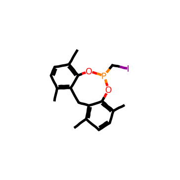 Cc1ccc(C)c2c1Cc1c(C)ccc(C)c1OP(CI)O2